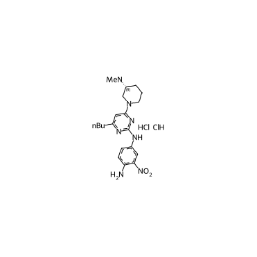 CCCCc1cc(N2CCC[C@@H](NC)C2)nc(Nc2ccc(N)c([N+](=O)[O-])c2)n1.Cl.Cl